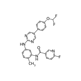 Cc1ccc(Nc2ncc(-c3ccc(OC(F)F)cc3)cn2)cc1NC(=O)c1ccc(F)nc1